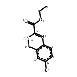 CCOC(=O)C1=Nc2ccc(Br)cc2SN1